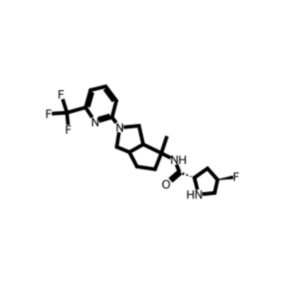 CC1(NC(=O)[C@@H]2C[C@@H](F)CN2)CCC2CN(c3cccc(C(F)(F)F)n3)CC21